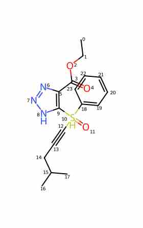 CCOC(=O)c1nn[nH]c1[SH](=O)(C#CCC(C)C)c1ccccc1